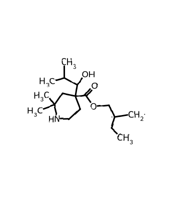 [CH2][C](CC)COC(=O)C1(C(O)C(C)C)CCNC(C)(C)C1